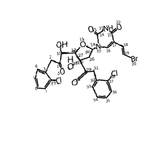 O=C(Cc1ccccc1Cl)C(O)[C@H]1O[C@@H](n2cc(C=CBr)c(=O)[nH]c2=O)C[C@@]1(O)C(=O)Cc1ccccc1Cl